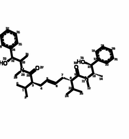 CC(C)[C@H](C/C=C/C[C@H](C(=O)N(C)[C@@H](C)[C@@H](O)c1ccccc1)C(C)C)C(=O)N(C)C(C)[C@@H](O)c1ccccc1